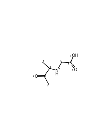 CC(=O)C(C)NCS(=O)O